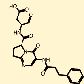 O=C[C@H](CC(=O)O)NC(=O)[C@@H]1CCc2ncc(NC(=O)CCc3ccccc3)c(=O)n21